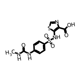 CNC(=O)Nc1ccc(S(=O)(=O)Nc2scnc2C(=O)O)cc1